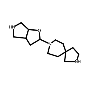 C1CC2(CCN(C3CC4CNCC4O3)CC2)CN1